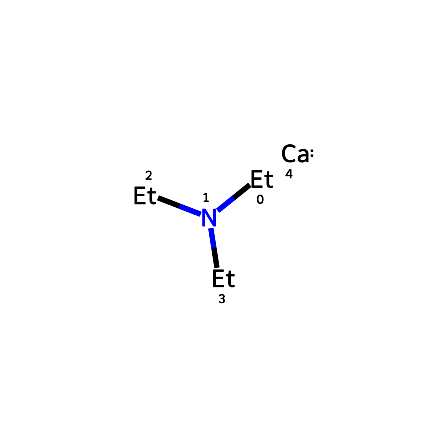 CCN(CC)CC.[Ca]